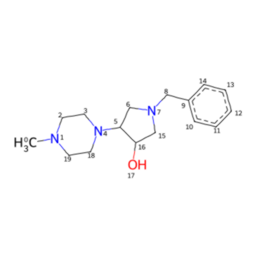 CN1CCN(C2CN(Cc3ccccc3)CC2O)CC1